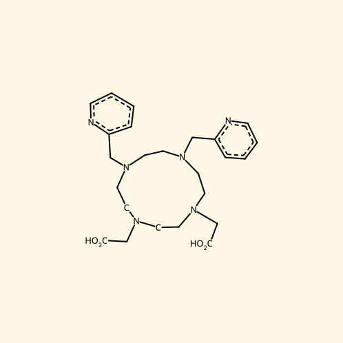 O=C(O)CN1CCN(CC(=O)O)CCN(Cc2ccccn2)CCN(Cc2ccccn2)CC1